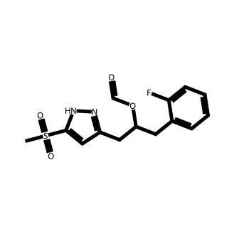 CS(=O)(=O)c1cc(CC(Cc2ccccc2F)OC=O)n[nH]1